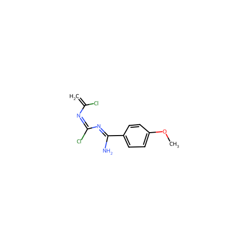 C=C(Cl)/N=C(Cl)\N=C(/N)c1ccc(OC)cc1